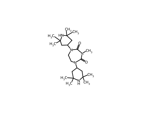 CN1C(=O)N(C2CC(C)(C)NC(C)(C)C2)CCN(C2CC(C)(C)NC(C)(C)C2)C1=O